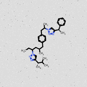 CCC(CC(C)Cc1ccc(CC(C)n2cc([C@H](C)c3ccccc3)nn2)cc1)n1cc([C@@H](C)C(C)C)nn1